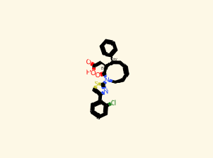 O=C(O)C[C@@H]1C(=O)N(c2nc(-c3ccccc3Cl)cs2)CCC=CC[C@@H]1c1ccccc1